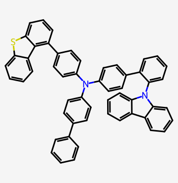 c1ccc(-c2ccc(N(c3ccc(-c4ccccc4-n4c5ccccc5c5ccccc54)cc3)c3ccc(-c4cccc5sc6ccccc6c45)cc3)cc2)cc1